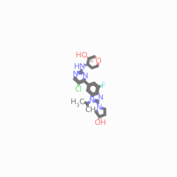 CC(C)n1c(N2CC[C@H](O)C2)nc2c(F)cc(-c3nc(N[C@@H]4CCOC[C@H]4O)ncc3Cl)cc21